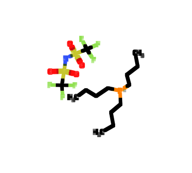 CCCC[P+](CCCC)CCCC.O=S(=O)([N-]S(=O)(=O)C(F)(F)F)C(F)(F)F